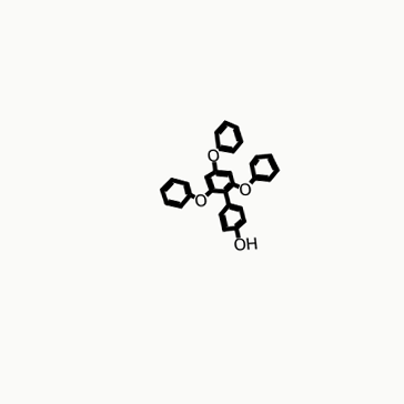 Oc1ccc(-c2c(Oc3ccccc3)cc(Oc3ccccc3)cc2Oc2ccccc2)cc1